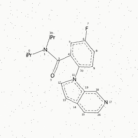 CC(C)N(C(=O)c1cc(F)ccc1-n1ccc2ccncc21)C(C)C